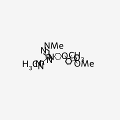 CNc1cc2c(cn1)c(-c1cnn(C)c1)nn2[C@H]1CC[C@@H](Oc2cccc(C(=O)OC)c2C)CC1